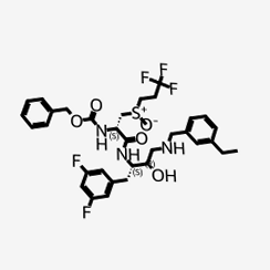 CCc1cccc(CNC[C@@H](O)[C@H](Cc2cc(F)cc(F)c2)NC(=O)[C@@H](C[S+]([O-])CCC(F)(F)F)NC(=O)OCc2ccccc2)c1